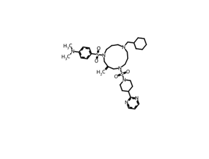 C=C1CN(S(=O)(=O)c2ccc(N(C)C)cc2)CCCN(CC2CCCCC2)CCCN(S(=O)(=O)N2CCC(c3ncccn3)CC2)C1